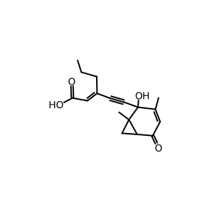 CCCC(C#CC1(O)C(C)=CC(=O)C2CC21C)=CC(=O)O